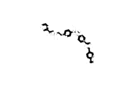 O=S(=O)(Nc1ccc(CCNC[C@H](O)c2cccnc2)cc1)c1ccc(-c2csc(-c3ccc(C(F)(F)F)cc3)n2)cc1